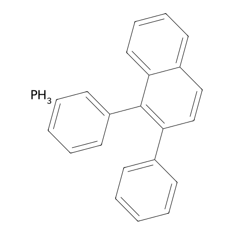 P.c1ccc(-c2ccc3ccccc3c2-c2ccccc2)cc1